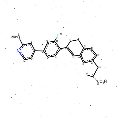 COc1cc(-c2ccc(C3=Cc4cc(C[C@@H](C)C(=O)O)ccc4CC3)c(F)c2)ccn1